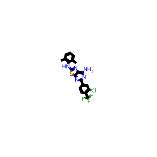 Cc1cccc(C)c1Nc1nc2c(N)nc(-c3ccc(C(F)(F)F)c(Cl)c3)nc2s1